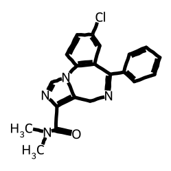 CN(C)C(=O)c1ncn2c1CN=C(c1ccccc1)c1cc(Cl)ccc1-2